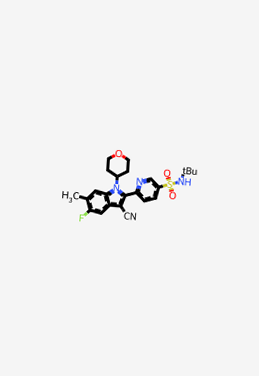 Cc1cc2c(cc1F)c(C#N)c(-c1ccc(S(=O)(=O)NC(C)(C)C)cn1)n2C1CCOCC1